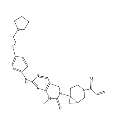 C=CC(=O)N1CCC2(N3Cc4cnc(Nc5ccc(OCCN6CCCC6)cc5)nc4N(C)C3=O)CC2C1